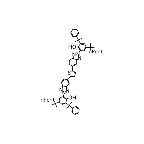 CCCCCC(C)(C)c1cc(-n2nc3ccc(-c4ccc(-c5ccc6nn(-c7cc(C(C)(C)CCCCC)cc(C(C)(C)c8ccccc8)c7O)nc6c5)s4)cc3n2)c(O)c(C(C)(C)c2ccccc2)c1